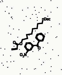 C=CC(=O)OCCCCCCCCCCCCCCCCCC.O=C(c1ccccc1)c1cccc([N+](=O)[O-])c1